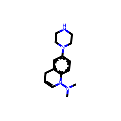 CN(C)N1C=CCc2cc(N3CCNCC3)ccc21